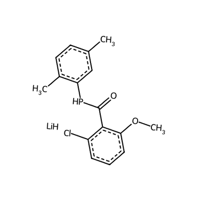 COc1cccc(Cl)c1C(=O)Pc1cc(C)ccc1C.[LiH]